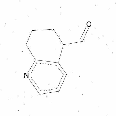 O=CC1CCCc2ncccc21